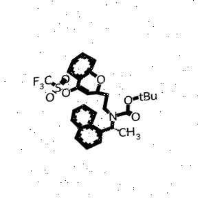 C[C@H](c1cccc2ccccc12)N(CCC1C=C(OS(=O)(=O)C(F)(F)F)c2ccccc2O1)C(=O)OC(C)(C)C